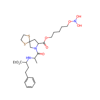 CCOC(=O)C(CCc1ccccc1)NC(C)C(=O)N1CC2(CC1C(=O)OCCCCCON(O)O)SCCS2